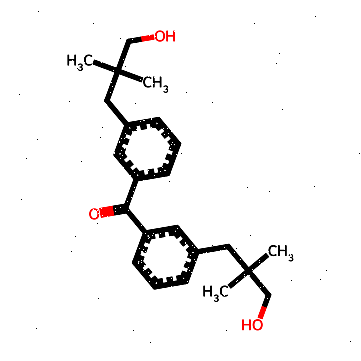 CC(C)(CO)Cc1cccc(C(=O)c2cccc(CC(C)(C)CO)c2)c1